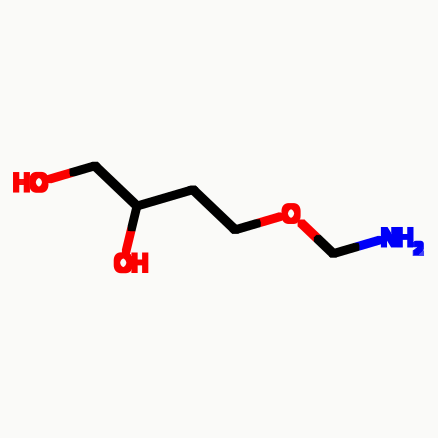 NCOCCC(O)CO